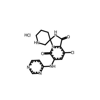 Cl.O=C1NC2(CCCNC2)n2c1c(Cl)cc(Nc1ccncn1)c2=O